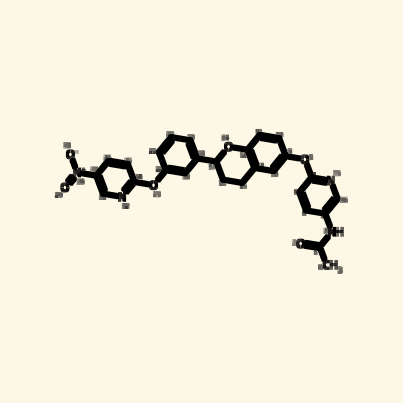 CC(=O)Nc1ccc(Oc2ccc3c(c2)CCC(c2cccc(Oc4ccc([N+](=O)[O-])cn4)c2)O3)nc1